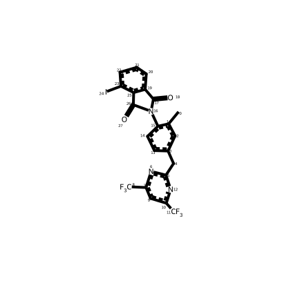 Cc1cc(Cc2nc(C(F)(F)F)cc(C(F)(F)F)n2)ccc1N1C(=O)c2cccc(I)c2C1=O